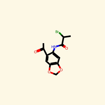 CC(=O)c1cc2c(cc1NC(=O)C(C)Br)OCO2